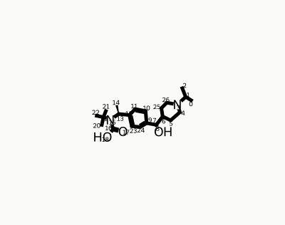 CC(C)N1CCC(C(O)c2ccc([C@H](C)N(C(=O)O)C(C)(C)C)cc2)CC1